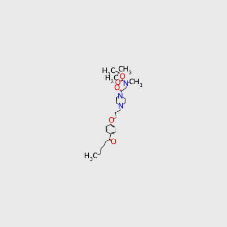 CCCCCC(=O)c1ccc(OCCCN2CCN(C(=O)CN(C)C(=O)OC(C)(C)C)CC2)cc1